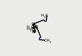 CCCCC/C=C\C/C=C\CCCCCCCCC1OCC(C(C)(C2COC(CCCCCCCC/C=C\C/C=C\CCCCC)O2)N(C)Cc2cccnc2)O1